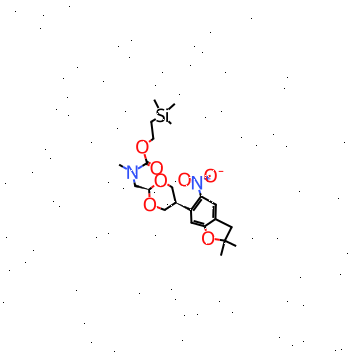 CN(C[C@H]1OC[C@@H](c2cc3c(cc2[N+](=O)[O-])CC(C)(C)O3)CO1)C(=O)OCC[Si](C)(C)C